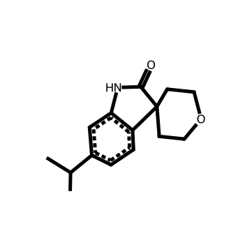 CC(C)c1ccc2c(c1)NC(=O)C21CCOCC1